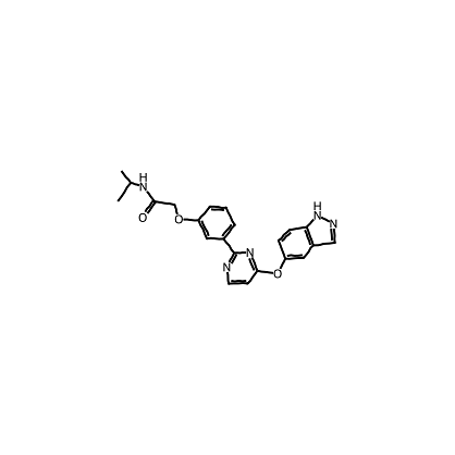 CC(C)NC(=O)COc1cccc(-c2nccc(Oc3ccc4[nH]ncc4c3)n2)c1